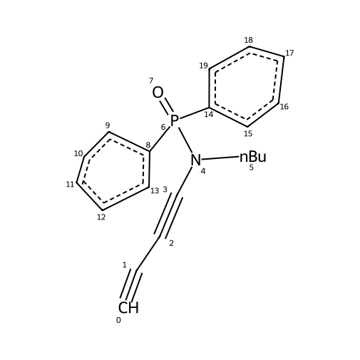 C#CC#CN(CCCC)P(=O)(c1ccccc1)c1ccccc1